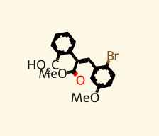 COC(=O)C(=Cc1cc(OC)ccc1Br)c1ccccc1C(=O)O